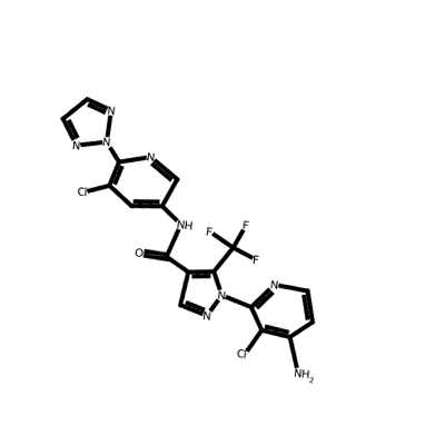 Nc1ccnc(-n2ncc(C(=O)Nc3cnc(-n4nccn4)c(Cl)c3)c2C(F)(F)F)c1Cl